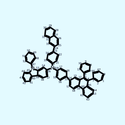 c1ccc(-c2c(-c3ccccc3)c3cc(-c4ccc(N(c5ccc(-c6ccc7ccccc7c6)cc5)c5ccc6c7ccccc7n(-c7ccccc7)c6c5)cc4)ccc3c3ccccc23)cc1